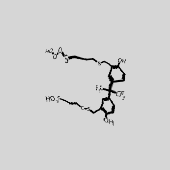 O=S(=O)(O)CCCSCc1cc(C(c2ccc(O)c(CSCCCSOOO)c2)(C(F)(F)F)C(F)(F)F)ccc1O